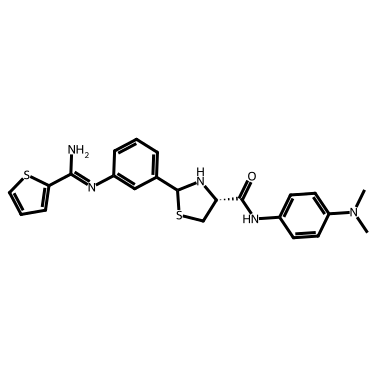 CN(C)c1ccc(NC(=O)[C@@H]2CSC(c3cccc(/N=C(\N)c4cccs4)c3)N2)cc1